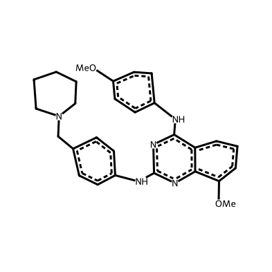 COc1ccc(Nc2nc(Nc3ccc(CN4CCCCC4)cc3)nc3c(OC)cccc23)cc1